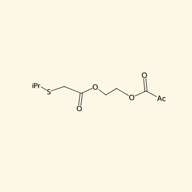 CC(=O)C(=O)OCCOC(=O)CSC(C)C